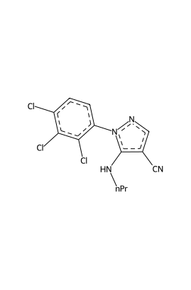 CCCNc1c(C#N)cnn1-c1ccc(Cl)c(Cl)c1Cl